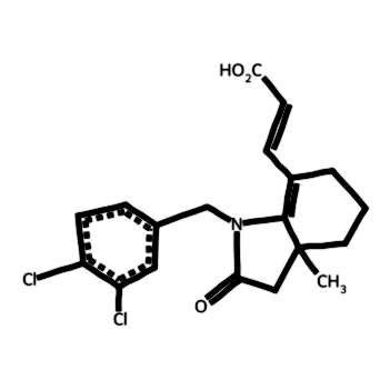 CC12CCCC(C=CC(=O)O)=C1N(Cc1ccc(Cl)c(Cl)c1)C(=O)C2